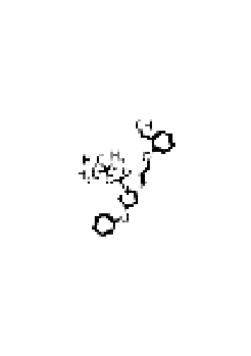 CCc1ccccc1OC/C=C/[C@@H]1C[C@H](Oc2ccccc2)CN1C(=O)OC(C)(C)C